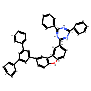 c1ccc(-c2cc(-c3ccccc3)cc(-c3ccc4oc5ccc(-c6nc(-c7ccccc7)nc(-c7ccccc7)n6)cc5c4c3)c2)cc1